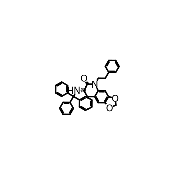 O=C1[C@@H](NC(c2ccccc2)(c2ccccc2)c2ccccc2)Cc2cc3c(cc2N1CCc1ccccc1)OCO3